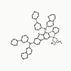 CCC1(CC)c2ccccc2-c2c1cc1c(sc3cc(N(c4cccc(-c5ccccc5)c4)c4ccc5ccccc5c4)ccc31)c2N(c1cccc(-c2ccccc2)c1)c1ccc2ccccc2c1